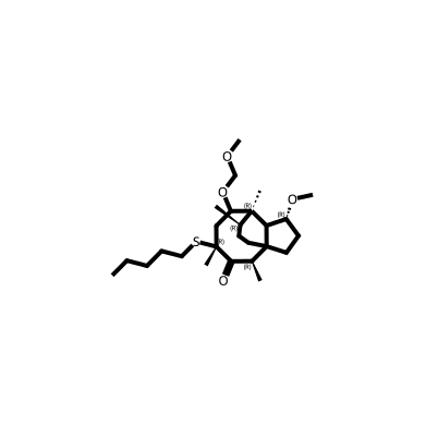 CCCCCS[C@]1(C)CC(OCOC)[C@@]2(C)C3[C@H](OC)CCC3(CC[C@H]2C)[C@@H](C)C1=O